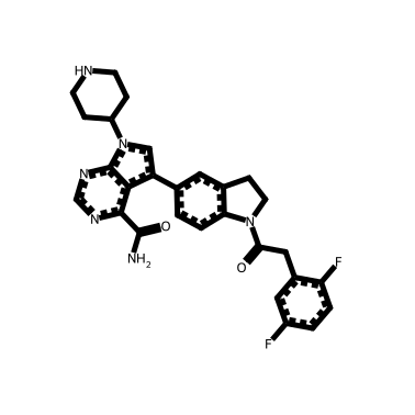 NC(=O)c1ncnc2c1c(-c1ccc3c(c1)CCN3C(=O)Cc1cc(F)ccc1F)cn2C1CCNCC1